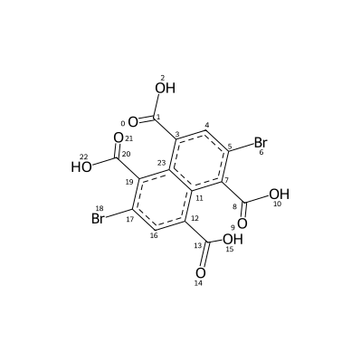 O=C(O)c1cc(Br)c(C(=O)O)c2c(C(=O)O)cc(Br)c(C(=O)O)c12